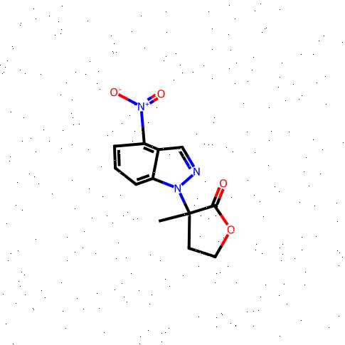 CC1(n2ncc3c([N+](=O)[O-])cccc32)CCOC1=O